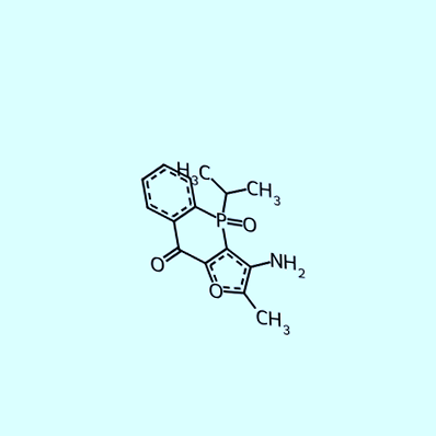 Cc1oc2c(c1N)P(=O)(C(C)C)c1ccccc1C2=O